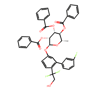 C[C@@H]1O[C@@H](Oc2ccc(C(F)(F)CO)c(-c3cccc(F)c3)c2)[C@H](OC(=O)c2ccccc2)[C@H](OC(=O)c2ccccc2)[C@H]1OC(=O)c1ccccc1